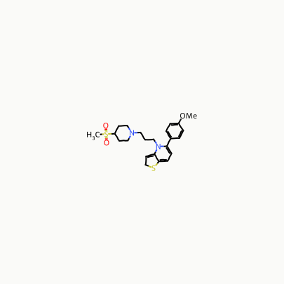 COc1ccc(C2=CC=C3SCC=C3N2CCCN2CCC(S(C)(=O)=O)CC2)cc1